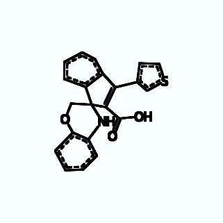 O=C(O)C1=C(c2ccsc2)c2ccccc2C12COc1ccccc1N2